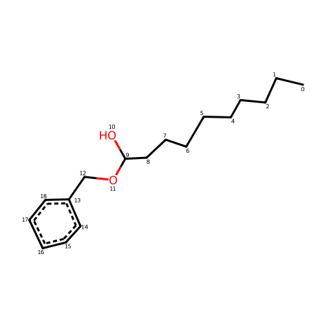 CCCCCCCCCC(O)OCc1ccccc1